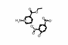 CCOC(=O)c1ccc[n+](N)c1.O=[N+]([O-])c1ccc([O-])c([N+](=O)[O-])c1